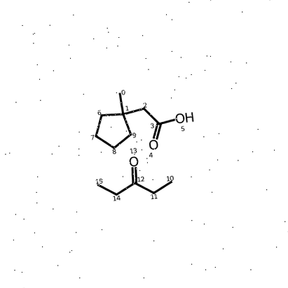 CC1(CC(=O)O)CCCC1.CCC(=O)CC